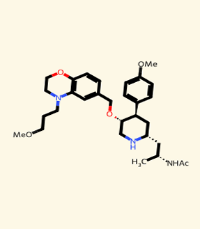 COCCCN1CCOc2ccc(CO[C@H]3CN[C@@H](C[C@@H](C)NC(C)=O)C[C@@H]3c3ccc(OC)cc3)cc21